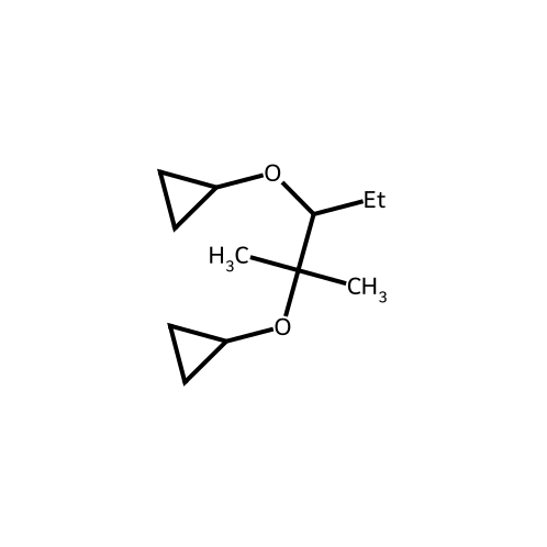 CCC(OC1CC1)C(C)(C)OC1CC1